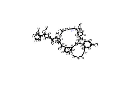 CO[C@H]1/C=C/C[C@H](C)C[S@@](=O)(NC(=O)N2CC(OC)(c3ncnn3C)C2)=NC(=O)c2ccc3c(c2)N(Cc2ccc(Cl)cc2CCCCO3)C[C@@H]2CC[C@H]21